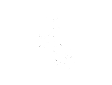 Nc1nc(-c2nc(Cc3ccccc3F)n3ncccc23)nc(N)c1N1CCOC1=O